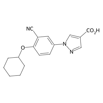 N#Cc1cc(-n2cc(C(=O)O)cn2)ccc1OC1CCCCC1